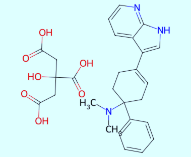 CN(C)C1(c2ccccc2)CC=C(c2c[nH]c3ncccc23)CC1.O=C(O)CC(O)(CC(=O)O)C(=O)O